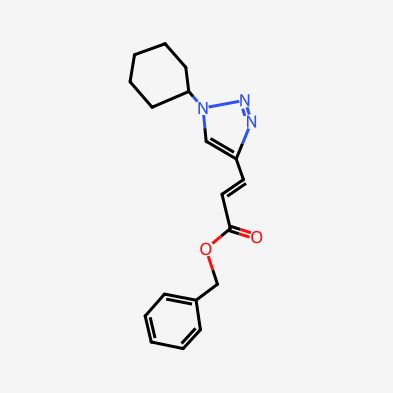 O=C(C=Cc1cn(C2CCCCC2)nn1)OCc1ccccc1